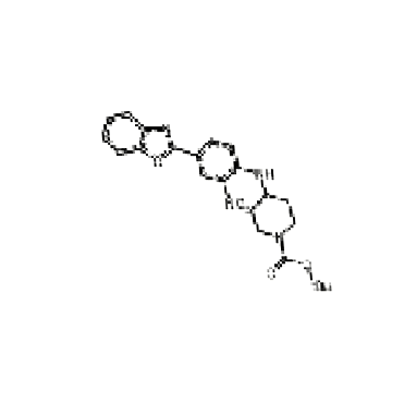 CC(C)(C)OC(=O)N1CCC(Nc2ccc(-c3nc4ccccc4o3)cc2[N+](=O)[O-])CC1